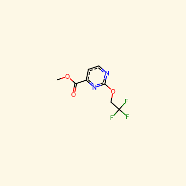 COC(=O)c1ccnc(OCC(F)(F)F)n1